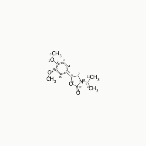 COc1ccc(C2CN(C(C)C)C(=O)O2)cc1OC